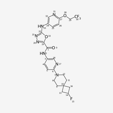 O=C(Nc1ccc(N2CCC3(CC2)CC(F)C3)nc1)c1nnc(Nc2ccc(OCC(F)(F)F)nc2)o1